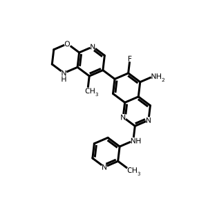 Cc1ncccc1Nc1ncc2c(N)c(F)c(-c3cnc4c(c3C)NCCO4)cc2n1